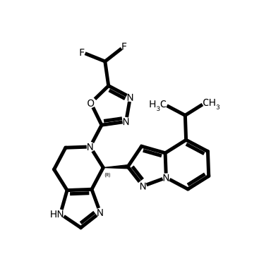 CC(C)c1cccn2nc([C@H]3c4nc[nH]c4CCN3c3nnc(C(F)F)o3)cc12